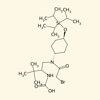 CC(C)[Si](O[C@H]1CC[C@H](N(CC(NC(=O)O)C(C)(C)C)C(=O)CBr)CC1)(C(C)C)C(C)C